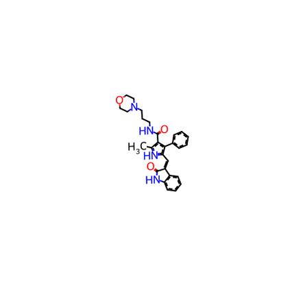 Cc1[nH]c(C=C2C(=O)Nc3ccccc32)c(-c2ccccc2)c1C(=O)NCCCN1CCOCC1